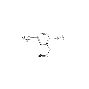 CCCCCCc1cc(C)c[c]c1N